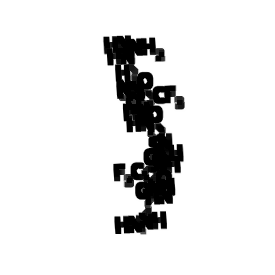 CC(=N)NCCCCC(=O)Nc1cc(C(F)(F)F)cc(NC(=O)Nc2nc3ccc(NC(=O)Nc4cc(C(F)(F)F)cc(NC(=O)CCCCNC(=N)N)c4OC4CCNC4)cc3s2)c1OC1CCNC1